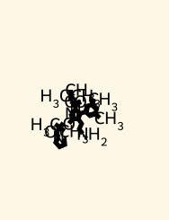 Cc1cc(C)cc(-c2c(CCN)c(OCC(C)(C)C(=O)N3CCCC3)nn2C(=O)OC(C)(C)C)c1